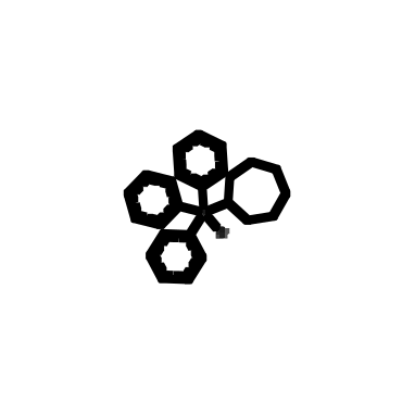 BrP(c1ccccc1)(c1ccccc1)(c1ccccc1)C1CCCCCC1